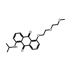 COCCOCCOc1cccc2c1C(=O)c1cccc(NC(C)C)c1C2=O